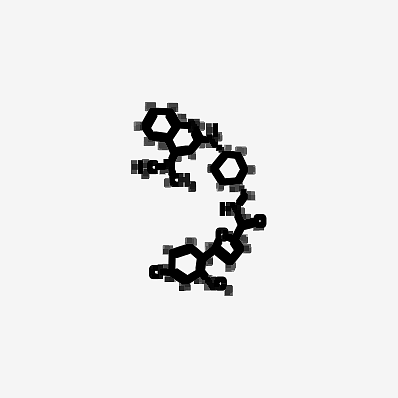 CN(C)c1cc(N[C@H]2CC[C@@H](CNC(=O)c3ccc(-c4ccc(Cl)cc4[N+](=O)[O-])o3)CC2)nc2ccccc12